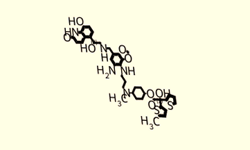 Cc1ccc([C@](O)(C(=O)O[C@H]2CC[C@H](N(C)CCCNc3c(N)cc(CNC[C@H](O)c4ccc(O)c5[nH]c(=O)ccc45)c4c3OCO4)CC2)c2cccs2)s1